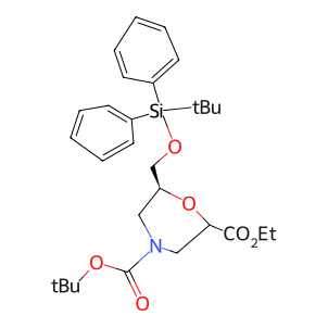 CCOC(=O)C1CN(C(=O)OC(C)(C)C)C[C@@H](CO[Si](c2ccccc2)(c2ccccc2)C(C)(C)C)O1